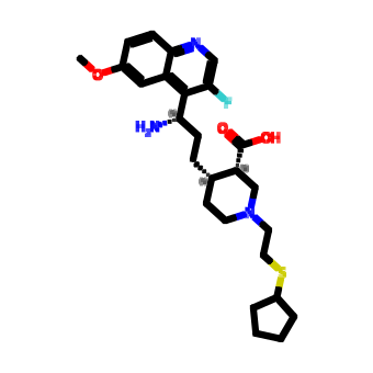 COc1ccc2ncc(F)c([C@@H](N)CC[C@H]3CCN(CCSC4CCCC4)C[C@H]3C(=O)O)c2c1